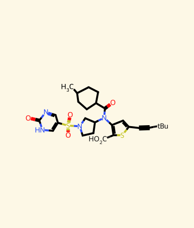 CC1CCC(C(=O)N(c2cc(C#CC(C)(C)C)sc2C(=O)O)C2CCN(S(=O)(=O)c3cnc(=O)[nH]c3)C2)CC1